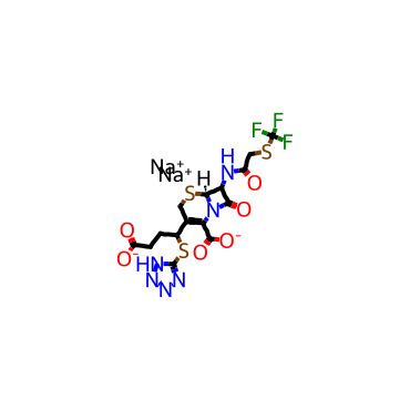 O=C([O-])CCC(Sc1nnn[nH]1)C1=C(C(=O)[O-])N2C(=O)C(NC(=O)CSC(F)(F)F)[C@@H]2SC1.[Na+].[Na+]